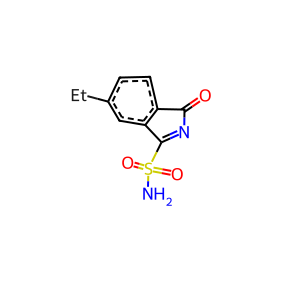 CCc1ccc2c(c1)C(S(N)(=O)=O)=NC2=O